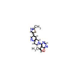 Cc1ncc(-c2cnc3c(c2)CN(c2ncnc4occ(C)c24)CC3)s1